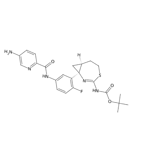 CC(C)(C)OC(=O)NC1=N[C@@]2(c3cc(NC(=O)c4ccc(N)cn4)ccc3F)C[C@H]2CCS1